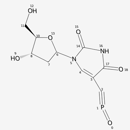 O=P#Cc1cn(C2C[C@H](O)[C@@H](CO)O2)c(=O)[nH]c1=O